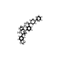 CC(C)(C)[C@@H](Nc1nsnc1Nc1cccc(C(=O)N2CCN(c3ncccn3)CC2)c1O)c1ccc2c(c1)OCO2